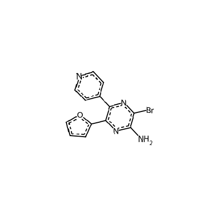 Nc1nc(-c2ccco2)c(-c2ccncc2)nc1Br